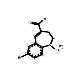 CN1CCC(C(=O)O)=Cc2cc(Br)ccc21.Cl